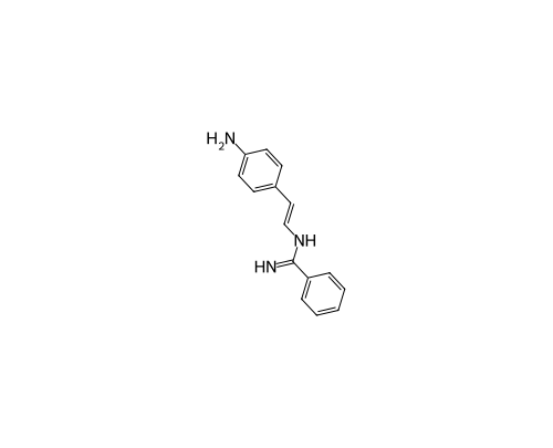 N=C(NC=Cc1ccc(N)cc1)c1ccccc1